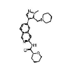 Cn1ncc(-c2ccc3cnc(NC(=O)C4CCCCO4)cc3c2)c1CN1CCCCC1